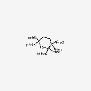 CCCCCCC1(CCCCCC)CC[Si](CCCCCC)(CCCCCC)[Si](CCCCCC)(CCCCCC)O1